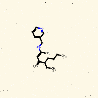 C=C(/C=C(\C)NCc1cccnc1)C(CC)CCCC